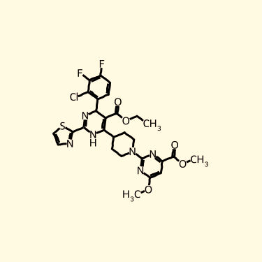 CCOC(=O)C1=C(C2CCN(c3nc(OC)cc(C(=O)OC)n3)CC2)NC(c2nccs2)=NC1c1ccc(F)c(F)c1Cl